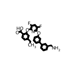 CCc1ccc(C(=O)O)c(Oc2nc(Oc3cccc(-c4cccc(CN)c4)c3)c(F)cc2F)c1